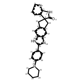 O=C1Nc2ncccc2C12Cc1cc3nc(-c4ccc(N5CCCCC5)cc4)[nH]c3cc1C2